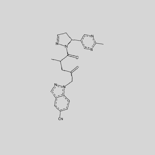 C=C(CC(C)C(=O)N1N=CCC1c1cnc(C)nc1)Cn1ncc2cc(C#N)ccc21